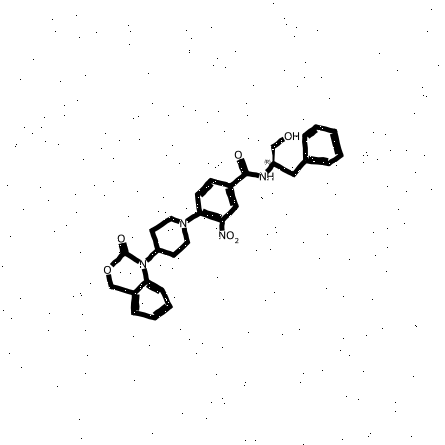 O=C(N[C@@H](CO)Cc1ccccc1)c1ccc(N2CCC(N3C(=O)OCc4ccccc43)CC2)c([N+](=O)[O-])c1